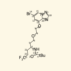 CC(C)(C)[S+]([O-])NC(CCOCCOc1cc(Br)cn2ncnc12)CCC(F)(F)F